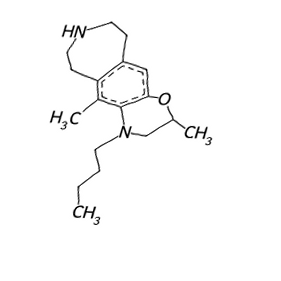 CCCCN1CC(C)Oc2cc3c(c(C)c21)CCNCC3